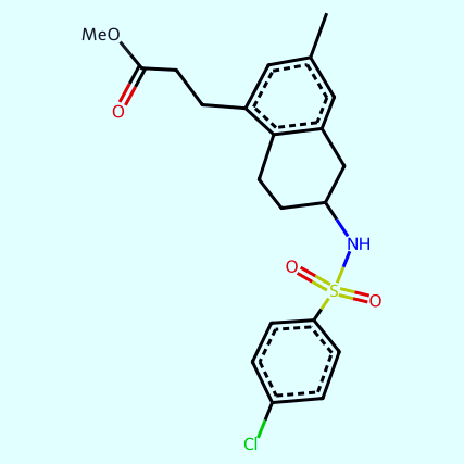 COC(=O)CCc1cc(C)cc2c1CCC(NS(=O)(=O)c1ccc(Cl)cc1)C2